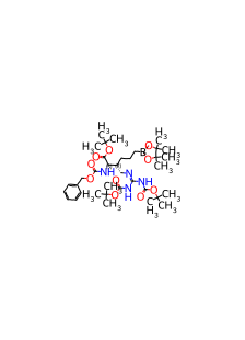 CC(C)(C)OC(=O)NC(=NC[C@@H](CCCB1OC(C)(C)C(C)(C)O1)[C@H](NC(=O)OCc1ccccc1)C(=O)OC(C)(C)C)NC(=O)OC(C)(C)C